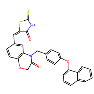 O=C1NC(=S)SC1=Cc1ccc2c(c1)N(Cc1ccc(Oc3cccc4ccccc34)cc1)C(=O)CO2